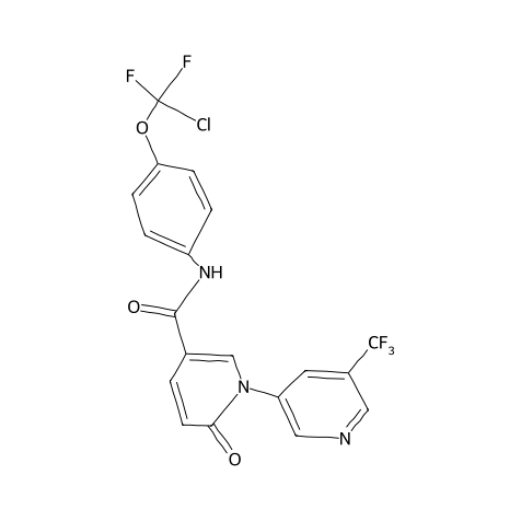 O=C(Nc1ccc(OC(F)(F)Cl)cc1)c1ccc(=O)n(-c2cncc(C(F)(F)F)c2)c1